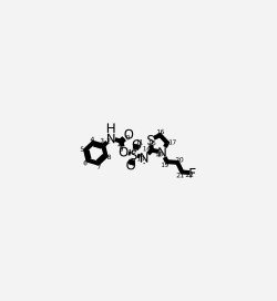 O=C(Nc1ccccc1)OS(=O)(=O)[N]C1SCCN1CCCF